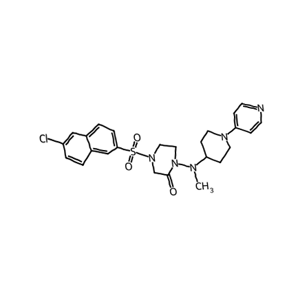 CN(C1CCN(c2ccncc2)CC1)N1CCN(S(=O)(=O)c2ccc3cc(Cl)ccc3c2)CC1=O